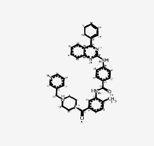 Cc1ccc(C(=O)N2CCN(Cc3cccnc3)CC2)cc1NC(=O)c1ccc(Nc2nc(C3=CC=CCC3)c3ccccc3n2)cc1